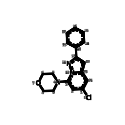 Clc1cc(N2CCOCC2)n2nc(-c3ccccc3)cc2c1